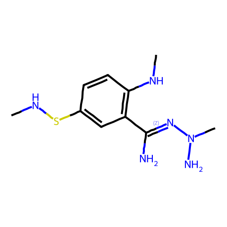 CNSc1ccc(NC)c(/C(N)=N/N(C)N)c1